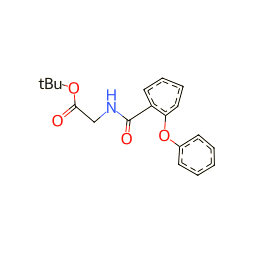 CC(C)(C)OC(=O)CNC(=O)c1ccccc1Oc1ccccc1